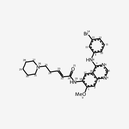 COc1cc2ncnc(Nc3cccc(Br)c3)c2cc1NC(=O)C=CCCN1CCCCC1